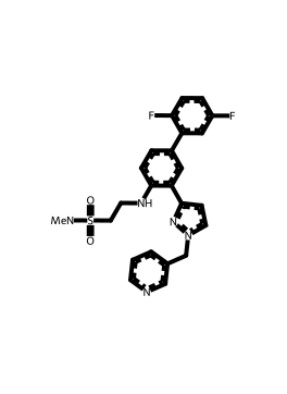 CNS(=O)(=O)CCNc1ccc(-c2cc(F)ccc2F)cc1-c1ccn(Cc2cccnc2)n1